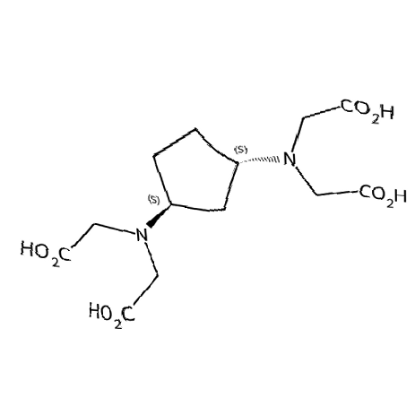 O=C(O)CN(CC(=O)O)[C@H]1CC[C@H](N(CC(=O)O)CC(=O)O)C1